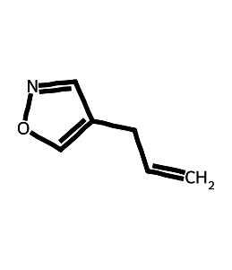 C=CCc1cnoc1